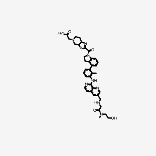 Cc1c(Nc2nccc3cc(CNCC(=O)N(C)CCO)cnc23)cccc1-c1cccc2c1CCN2C(=O)C1=NC2CCN(CC(=O)O)CC2S1